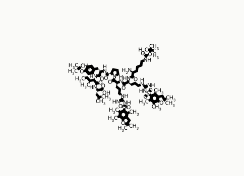 CC[C@H](C)[C@H](NC(=O)[C@H](Cc1ccc(OC(C)(C)C)cc1)NC(=O)[C@@H]1CCCN1C(=O)[C@H](CCCNC(=N)NS(=O)(=O)c1c(C)c(C)c2c(c1C)CC(C)(C)O2)NC(=O)[C@H](CCCNC(=N)NS(=O)(=O)c1c(C)c(C)c2c(c1C)CC(C)(C)O2)NC(=O)[C@@H](N)CCCCNC(=O)OC(C)(C)C)C(=O)N[C@@H](CC(C)C)C(=O)O